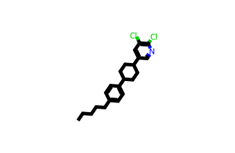 CCCCCc1ccc(C2CCC(c3cnc(Cl)c(Cl)c3)CC2)cc1